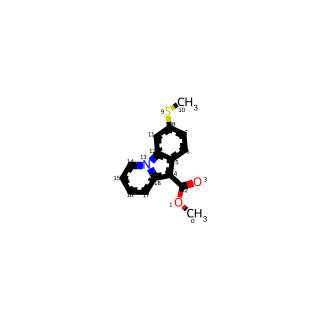 COC(=O)c1c2ccc(SC)cc2n2ccccc12